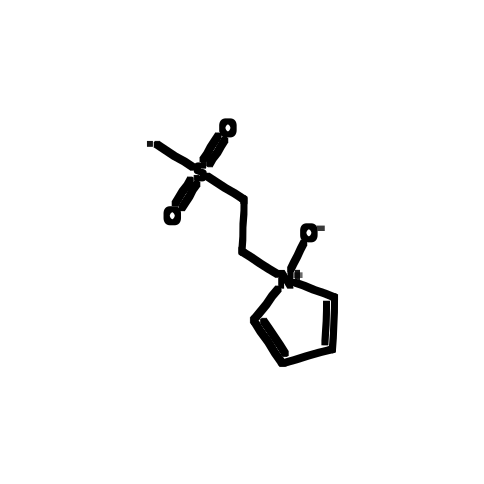 [CH2]S(=O)(=O)CC[N+]1([O-])C=CC=C1